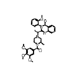 COc1ccccc1-n1c(C(C)N2CCN(C(=O)c3cc(OC)c(OC)c(OC)c3)C(C)C2)nc2ccccc2c1=O